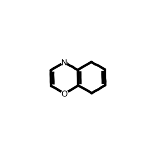 C1=CCC2=C(C1)[N]C=CO2